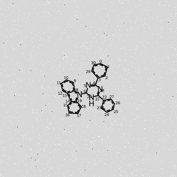 c1ccc(C2=NC(n3c4ccccc4c4ccccc43)NC(c3ccccc3)=N2)cc1